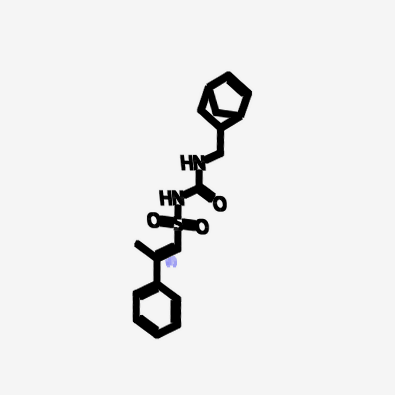 C/C(=C\S(=O)(=O)NC(=O)NCC1CC2C=CC1C2)c1ccccc1